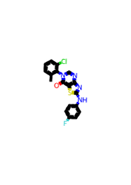 Cc1cccc(Cl)c1-n1cnc2nc(Nc3ccc(F)cc3)sc2c1=O